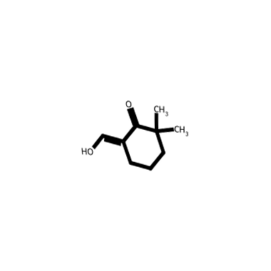 CC1(C)CCC/C(=C\O)C1=O